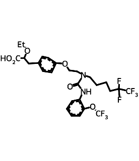 CCOC(Cc1ccc(OCCN(CCCCC(F)(F)C(F)(F)F)C(=O)Nc2ccccc2OC(F)(F)F)cc1)C(=O)O